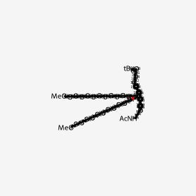 COCCOCCOCCOCCOCCOCCOCCOCCOCCOCCOCCOCCCC1(CCCOCCOCCOCCOCCOCCOCCOCCOCCOCCOCCOCCOC)c2cc(-c3ccc(OCCCCNC(C)=O)cc3)ccc2-c2ccc(-c3ccc(OCCOCCC(=O)OC(C)(C)C)cc3)cc21